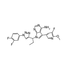 CCC(c1cn(-c2ccc(F)c(F)c2)nn1)n1cc(-c2cnc(OC)c(F)c2)c2c(N)ncnc21